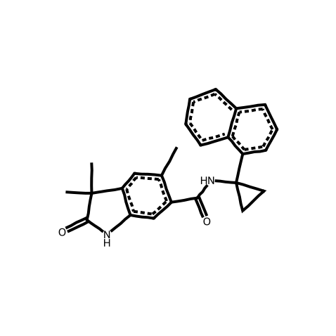 Cc1cc2c(cc1C(=O)NC1(c3cccc4ccccc34)CC1)NC(=O)C2(C)C